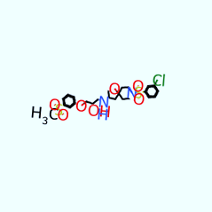 CS(=O)(=O)c1cccc(OCC(O)CNC2COC3(CCN(S(=O)(=O)c4cccc(Cl)c4)CC3)C2)c1